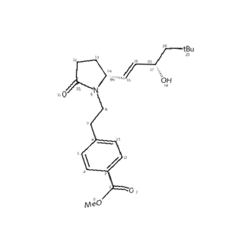 COC(=O)c1ccc(CCN2C(=O)CC[C@@H]2C=C[C@@H](O)CC(C)(C)C)cc1